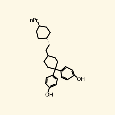 CCC[C@H]1CC[C@H](CCC2CCC(c3ccc(O)cc3)(c3ccc(O)cc3)CC2)CC1